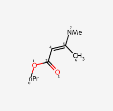 CCCOC(=O)C=C(C)NC